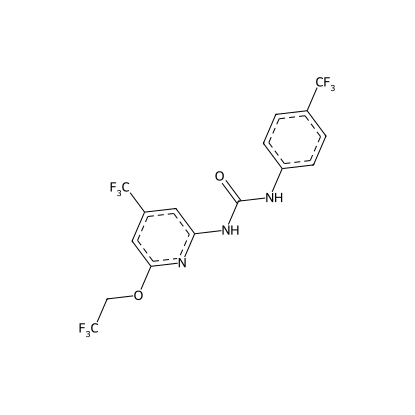 O=C(Nc1ccc(C(F)(F)F)cc1)Nc1cc(C(F)(F)F)cc(OCC(F)(F)F)n1